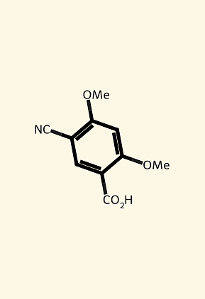 COc1cc(OC)c(C(=O)O)cc1C#N